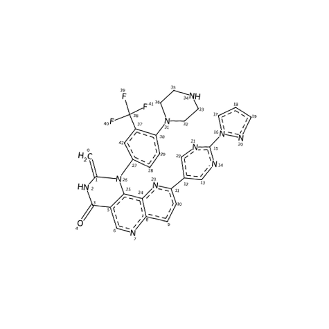 C=C1NC(=O)c2cnc3ccc(-c4cnc(-n5cccn5)nc4)nc3c2N1c1ccc(N2CCNCC2)c(C(F)(F)F)c1